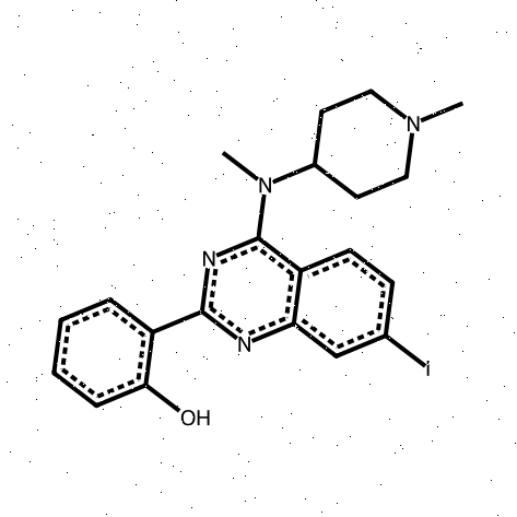 CN1CCC(N(C)c2nc(-c3ccccc3O)nc3cc(I)ccc23)CC1